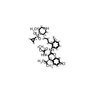 COC(=O)N[C@H](C(=O)Nc1cccc(F)c1CCC[C@H]1CNC[C@@H](C)N1S(=O)(=O)C1CC1)[C@@H](c1ccc(Cl)cc1)C(C)C